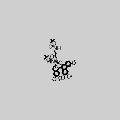 COc1ccc2cc(C3c4cc(OC)c(OC)cc4CCN3C(=O)[C@@H](CCCCNC(=O)OC(C)(C)C)NC(=O)OC(C)(C)C)c3cc(OC)c(OC)cc3c2c1